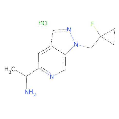 CC(N)c1cc2cnn(CC3(F)CC3)c2cn1.Cl